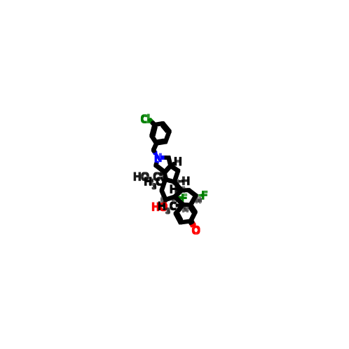 C[C@]12C=CC(=O)C=C1[C@@H](F)C[C@H]1[C@@H]3C[C@H]4CN(Cc5cccc(Cl)c5)C[C@@]4(C(=O)O)[C@@]3(C)C[C@H](O)[C@@]12F